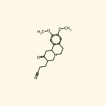 COc1cc2c(cc1OC)C1CC(=O)C(CCC#N)CN1CC2